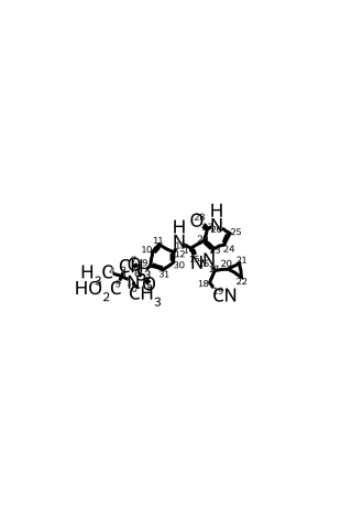 CN(C(C)(C)C(=O)O)S(=O)(=O)c1ccc(Nc2nn(C(CC#N)C3CC3)c3cc[nH]c(=O)c23)cc1